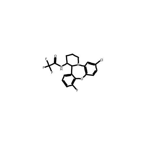 O=C(NC1CCCN2c3cc(Cl)ccc3Oc3c(F)cccc3C12)C(F)(F)F